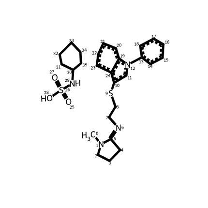 CN1CCCC1=NCCSc1cn(-c2ccccc2)c2ccccc12.O=S(=O)(O)NC1CCCCC1